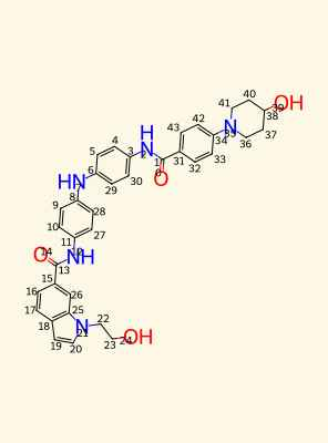 O=C(Nc1ccc(Nc2ccc(NC(=O)c3ccc4ccn(CCO)c4c3)cc2)cc1)c1ccc(N2CCC(O)CC2)cc1